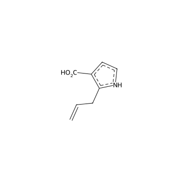 C=CCc1[nH]ccc1C(=O)O